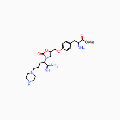 COC(=O)C(N)Cc1ccc(OCC2CN(C(CCCN3CCNCC3)C(=N)N)C(=O)O2)cc1